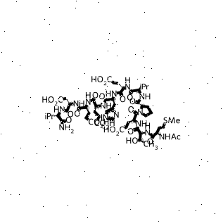 CSCC[C@H](NC(C)=O)C(=O)N[C@H](C(=O)N[C@@H](CCC(=O)O)C(=O)N1CCC[C@H]1C(=O)N[C@H](C(=O)N[C@@H](CCC(=O)O)C(=O)N[C@@H](Cc1c[nH]cn1)C(=O)N[C@@H](CCC(=O)O)C(=O)N[C@@H](CCC(=O)O)C(=O)N[C@@H](CC(=O)O)C(=O)N[C@H](C(N)=O)C(C)C)C(C)C)[C@@H](C)O